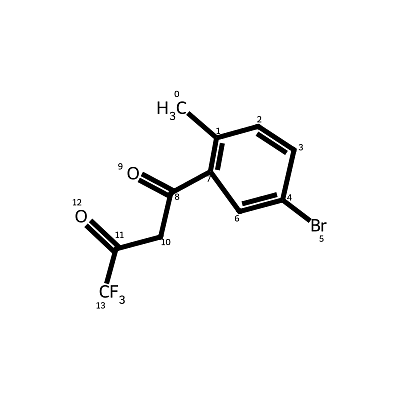 Cc1ccc(Br)cc1C(=O)CC(=O)C(F)(F)F